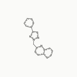 c1ccc(-c2cnn(Cc3ccc4ccccc4n3)n2)cc1